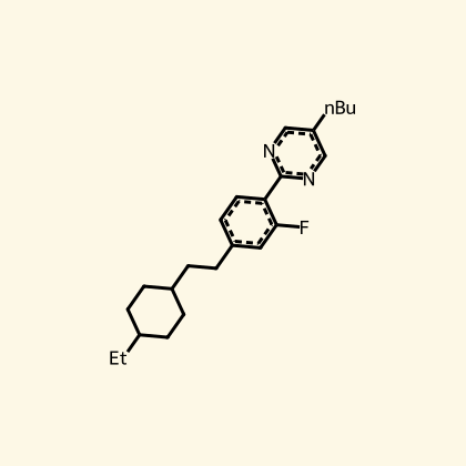 CCCCc1cnc(-c2ccc(CCC3CCC(CC)CC3)cc2F)nc1